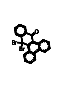 O=C1c2ccccc2C(Br)(Br)c2c1c1ccccc1c1ccccc21